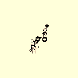 O=C1CCC(N2Cc3cc(C[C@H]4CCCC[C@@H]4N4CC(OCC5CCC5)C4)ccc3C2=O)C(=O)N1